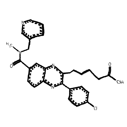 CN(Cc1cccnc1)C(=O)c1ccc2nc(-c3ccc(Cl)cc3)c(CCCCC(=O)O)nc2c1